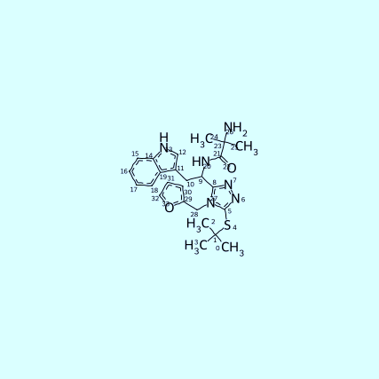 CC(C)(C)Sc1nnc(C(Cc2c[nH]c3ccccc23)NC(=O)C(C)(C)N)n1Cc1ccco1